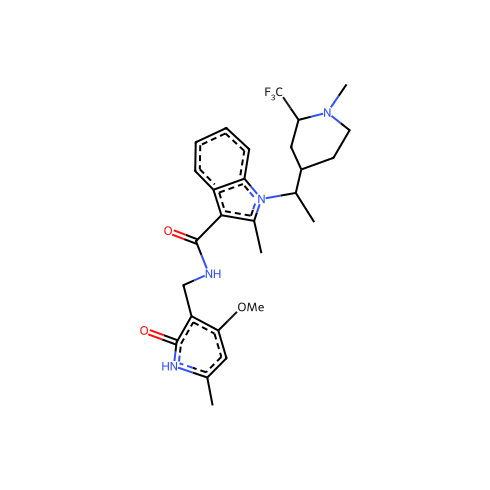 COc1cc(C)[nH]c(=O)c1CNC(=O)c1c(C)n(C(C)C2CCN(C)C(C(F)(F)F)C2)c2ccccc12